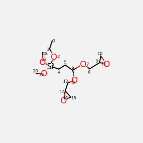 CCO[Si](CCC(OCC1CO1)OCC1CO1)(OC)OC